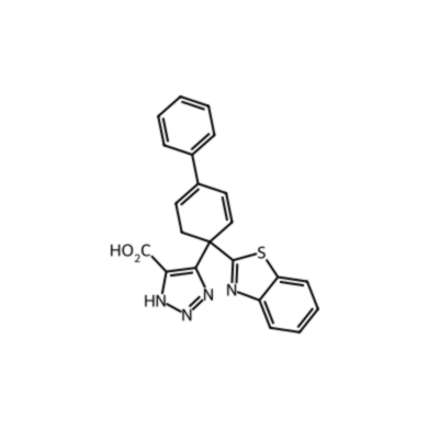 O=C(O)c1[nH]nnc1C1(c2nc3ccccc3s2)C=CC(c2ccccc2)=CC1